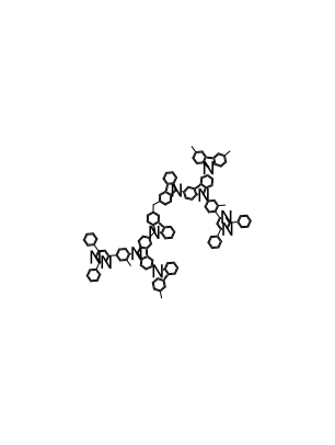 Cc1ccc2c(c1)c1ccccc1n2-c1ccc2c(c1)c1cc(-n3c4ccccc4c4cc(Cc5ccc6c(c5)c5ccccc5n6-c5ccc6c(c5)c5cc(-n7c8ccc(C)cc8c8cc(C)ccc87)ccc5n6-c5ccc(-c6cc(-c7ccccc7)nc(-c7ccccc7)n6)c(C)c5)ccc43)ccc1n2-c1ccc(-c2cc(-c3ccccc3)nc(-c3ccccc3)n2)cc1C